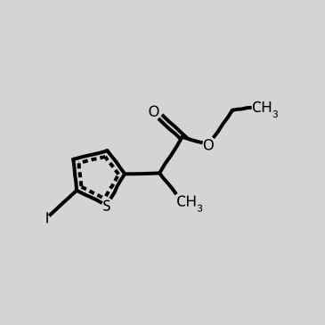 CCOC(=O)C(C)c1ccc(I)s1